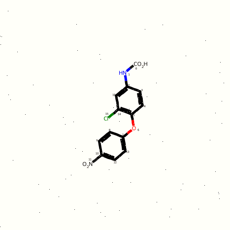 O=C(O)Nc1ccc(Oc2ccc([N+](=O)[O-])cc2)c(Cl)c1